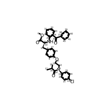 COC(=O)[C@H](Cc1ccc(OCCN(C(=O)C(C)C)c2ccc(Cl)cc2)cc1)Nc1ccccc1C(=O)c1ccccc1